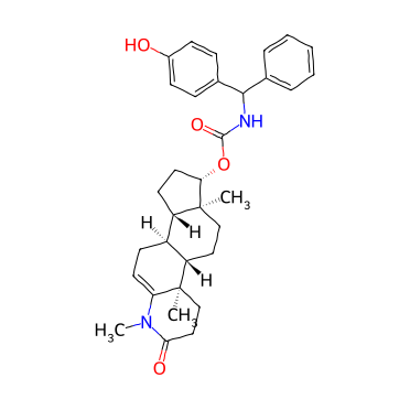 CN1C(=O)CC[C@@]2(C)C1=CC[C@H]1[C@@H]3CC[C@H](OC(=O)NC(c4ccccc4)c4ccc(O)cc4)[C@@]3(C)CC[C@@H]12